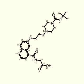 CC(C)(C)OC(=O)N1CCN(CCCOc2ccc3nccc(C(=O)NCC(=O)O)c3c2)CC1